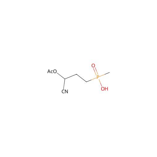 CC(=O)OC(C#N)CCP(C)(=O)O